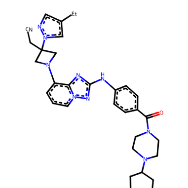 CCc1cnn(C2(CC#N)CN(c3cccn4nc(Nc5ccc(C(=O)N6CCN(C7CCOCC7)CC6)cc5)nc34)C2)c1